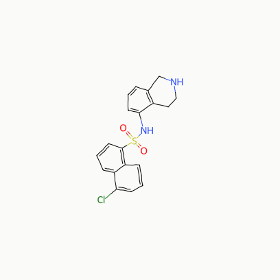 O=S(=O)(Nc1cccc2c1CCNC2)c1cccc2c(Cl)cccc12